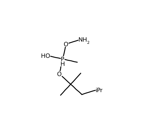 CC(C)CC(C)(C)O[PH](C)(O)ON